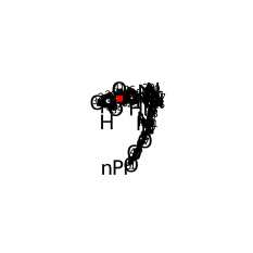 CCCOCCOCCOCCn1cc(CNc2csc3ncnc(Nc4ccc5c(c4)CN(C4CCC(=O)NC4=O)C5=O)c23)nn1